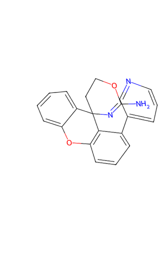 NC1=NC2(CCO1)c1ccccc1Oc1cccc(-c3cccnc3)c12